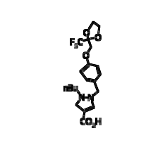 CCCCN1CC(C(=O)O)=CN1Cc1ccc(OCC2(C(F)(F)F)OCCO2)cc1